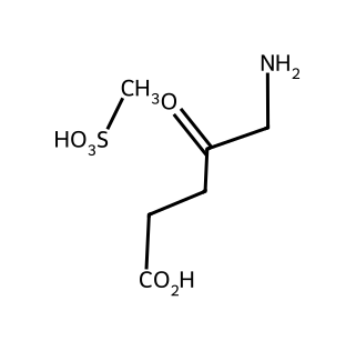 CS(=O)(=O)O.NCC(=O)CCC(=O)O